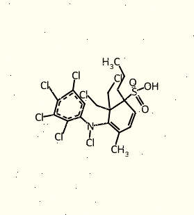 CCCC1(S(=O)(=O)O)C=CC(C)=C(N(Cl)c2cc(Cl)c(Cl)c(Cl)c2Cl)C1(CCl)CCl